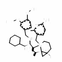 COc1ccc(CN[C@H](CC2CCCCC2)C(=O)[N+]2(Cc3ccc(N)nc3C)CCC[C@@H]3C[C@@]32C(N)=O)cc1OC